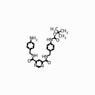 CC(C)(C)OC(=O)Nc1ccc(CNC(=O)c2cc(C(=O)NCc3ccc(N)cc3)ncn2)cc1